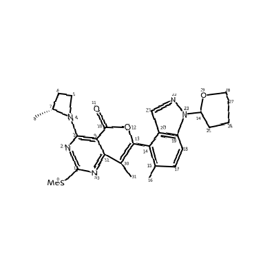 CSc1nc(N2CC[C@H]2C)c2c(=O)oc(-c3c(C)ccc4c3cnn4C3CCCCO3)c(C)c2n1